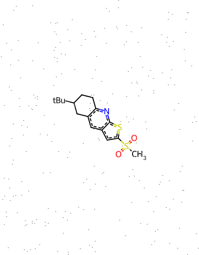 CC(C)(C)C1CCc2nc3sc(S(C)(=O)=O)cc3cc2C1